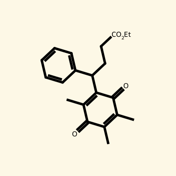 CCOC(=O)CCC(C1=C(C)C(=O)C(C)=C(C)C1=O)c1ccccc1